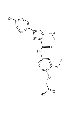 CNc1cc(-c2ccc(Cl)cc2)sc1C(=O)Nc1ccc(OCC(=O)O)c(OC)c1